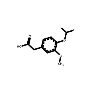 COc1cc(CC(=O)O)ccc1OC(F)F